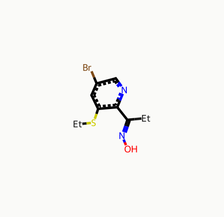 CCSc1cc(Br)cnc1C(CC)=NO